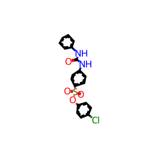 O=C(Nc1ccccc1)Nc1ccc(S(=O)(=O)Oc2ccc(Cl)cc2)cc1